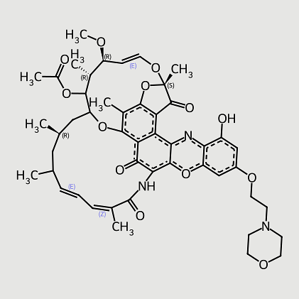 CO[C@H]1/C=C/O[C@@]2(C)Oc3c(C)c4c5c(=O)c(c6oc7cc(OCCN8CCOCC8)cc(O)c7nc-6c5c3C2=O)NC(=O)/C(C)=C\C=C\C(C)C[C@@H](C)CC(O4)C(OC(C)=O)[C@@H]1C